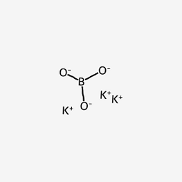 [K+].[K+].[K+].[O-]B([O-])[O-]